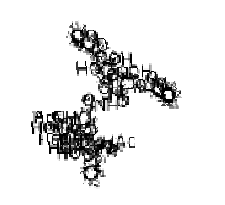 CC(=O)NC1CC(C(=O)NCCNC(=O)C2CC(OCc3cc4ccccc4oc3=O)C(O)[C@H](O[C@@H]3OC(CO)[C@H](O)C(OCc4cc5ccccc5oc4=O)C3O)C2)C[C@@H](O[C@@H]2OC(CO)[C@H](O)C(O[C@@H](CC3CCCCC3)C(=O)N3CCC3)C2NC(C)=O)C1O[C@@H]1OC(C)[C@@H](O)C(O)C1O